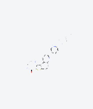 C[C@@H]1CNc2c(sc3ccc4nc(-c5ccc(N6CCC(C=O)CC6)nc5)ccc4c23)C(=O)N1